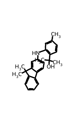 Cc1ccc(C(C)(C)O)c(Nc2ccc3c(c2)C(C)(C)c2ccccc2-3)c1